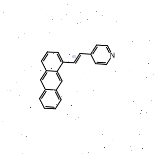 C(=C\c1cccc2cc3ccccc3cc12)/c1ccncc1